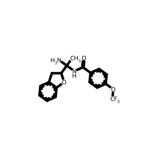 CC(N)(NC(=O)c1ccc(OC(F)(F)F)cc1)C1Cc2ccccc2O1